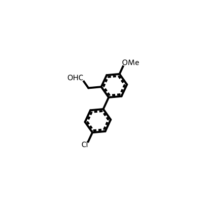 COc1ccc(-c2ccc(Cl)cc2)c(CC=O)c1